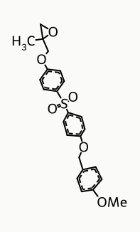 COc1ccc(COc2ccc(S(=O)(=O)c3ccc(OCC4(C)CO4)cc3)cc2)cc1